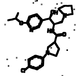 CC(C)Oc1ccc([C@@H](O)[C@@H](CN2CCCC2)NC(=O)C2CCN(c3ccc(Cl)cc3)C2)cn1